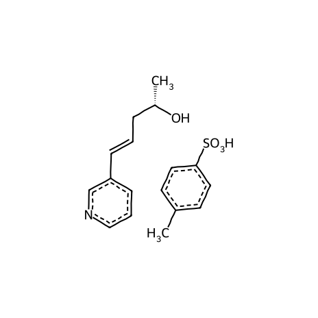 C[C@H](O)CC=Cc1cccnc1.Cc1ccc(S(=O)(=O)O)cc1